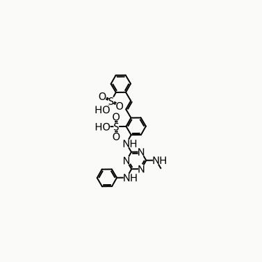 CNc1nc(Nc2ccccc2)nc(Nc2cccc(/C=C/c3ccccc3S(=O)(=O)O)c2S(=O)(=O)O)n1